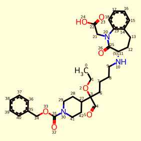 CCOC(C=O)(CCCCN[C@H]1CCc2ccccc2N(CC(=O)O)C1=O)C1CCN(C(=O)OCc2ccccc2)CC1